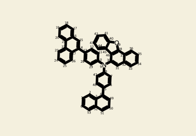 c1ccc2c(-c3ccc(N(c4ccc(-c5cc6ccccc6c6ccccc56)cc4)c4cc5ccccc5c5oc6ccccc6c45)cc3)cccc2c1